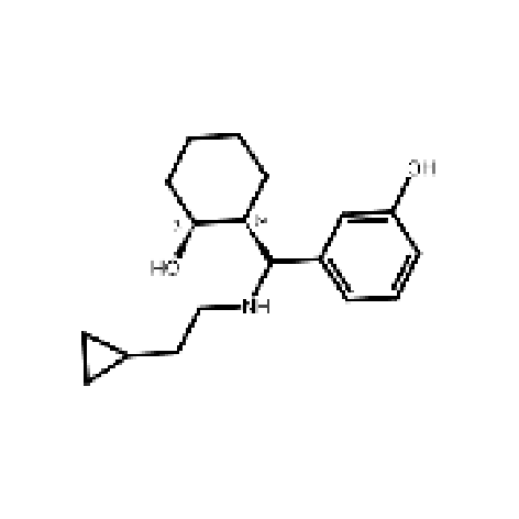 Oc1cccc(C(NCCC2CC2)[C@@H]2CCCC[C@@H]2O)c1